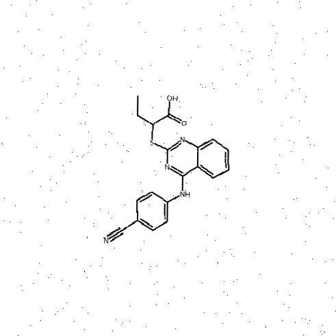 CCC(Sc1nc(Nc2ccc(C#N)cc2)c2ccccc2n1)C(=O)O